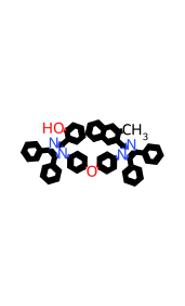 Cc1cc2ccccc2cc1-c1nc(-c2ccccc2)c(-c2ccccc2)n1-c1ccc(Oc2ccc(-n3c(-c4ccccc4O)nc(-c4ccccc4)c3-c3ccccc3)cc2)cc1